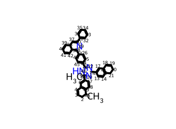 CC1CC=Cc2cc([C@]3(C)N=C(c4ccc5c(c4)C=CCC5)N=C(c4ccc(C5=NC(c6ccccc6)=CC6C=CC=CC56)cc4)N3)ccc21